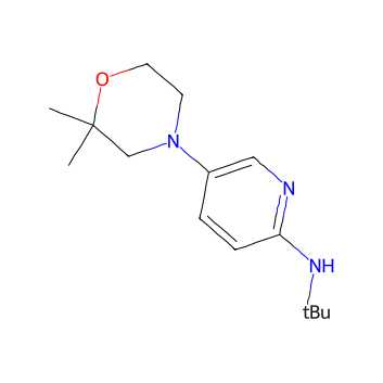 CC(C)(C)Nc1ccc(N2CCOC(C)(C)C2)cn1